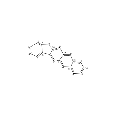 [CH]1c2ccccc2-c2cc3cc4ccccc4cc3cc21